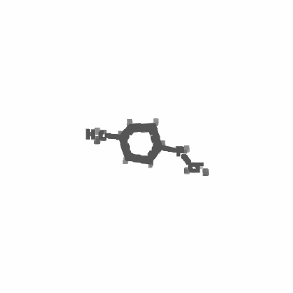 Cc1ccc([P]C(F)(F)F)cc1